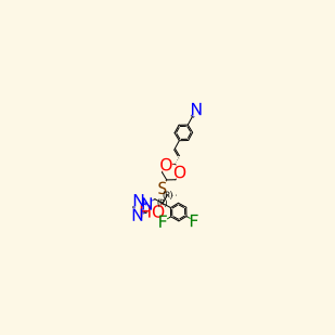 C[C@@H](S[C@H]1CO[C@H](C=Cc2ccc(C#N)cc2)OC1)[C@](O)(Cn1cncn1)c1ccc(F)cc1F